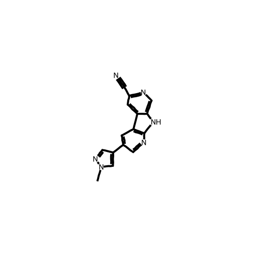 Cn1cc(-c2cnc3[nH]c4cnc(C#N)cc4c3c2)cn1